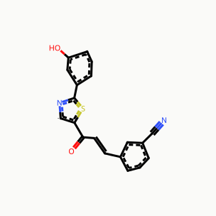 N#Cc1cccc(C=CC(=O)c2[c]nc(-c3cccc(O)c3)s2)c1